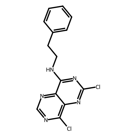 Clc1nc(NCCc2ccccc2)c2ncnc(Cl)c2n1